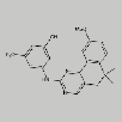 COc1ccc2c(c1)-c1nc(Nc3cc(O)cc(C(F)(F)F)c3)ncc1CC2(C)C